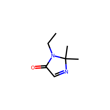 CCN1C(=O)C=NC1(C)C